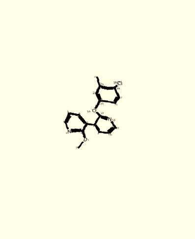 COc1ncccc1-c1cccnc1Oc1ccc(Cl)c(C)c1